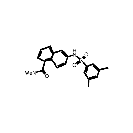 CNC(=O)c1cccc2cc(NS(=O)(=O)c3cc(C)cc(C)c3)ccc12